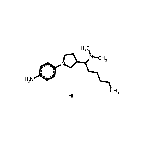 CCCCCC(C1CCN(c2ccc(N)cc2)C1)N(C)C.I